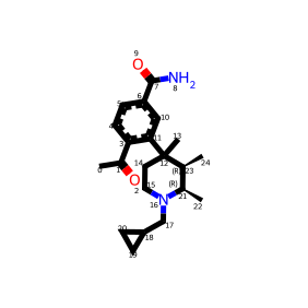 CC(=O)c1ccc(C(N)=O)cc1C1(C)CCN(CC2CC2)[C@H](C)[C@@H]1C